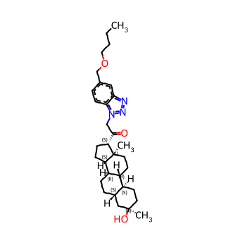 CCCCOCc1ccc2c(c1)nnn2CC(=O)[C@H]1CC[C@H]2[C@@H]3CC[C@H]4C[C@](C)(O)CC[C@@H]4[C@H]3CC[C@]12C